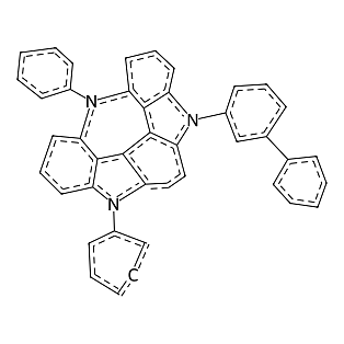 c1ccc(-c2cccc(-n3c4ccc5c6c4c4c3cccc4n(-c3ccccc3)c3cccc(c63)n5-c3ccccc3)c2)cc1